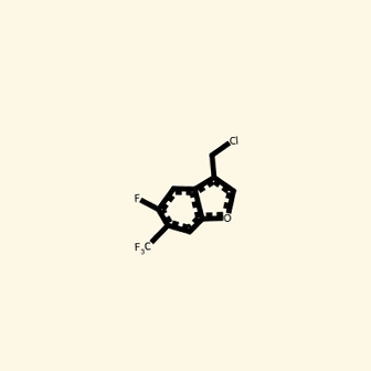 Fc1cc2c(CCl)coc2cc1C(F)(F)F